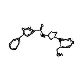 O=C(NC1CCC(n2nncc2CO)C1)c1cc(-c2ccccc2)on1